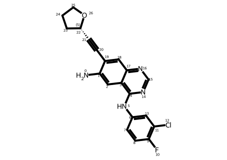 Nc1cc2c(Nc3ccc(F)c(Cl)c3)ncnc2cc1C#C[C@@H]1CCCO1